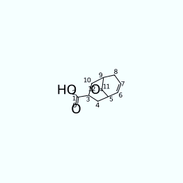 O=C(O)C1CC2C=CCC(C1)C2=O